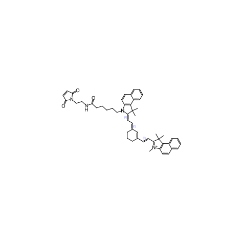 C[N+]1=C(/C=C/C2=CC(=C/C=C3/N(CCCCCC(=O)NCCN4C(=O)C=CC4=O)c4ccc5ccccc5c4C3(C)C)/CCC2)C(C)(C)c2c1ccc1ccccc21